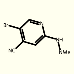 CNNc1cc(C#N)c(Br)cn1